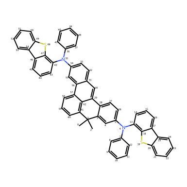 CC1(C)c2cc(N(c3ccccc3)c3cccc4c3sc3ccccc34)ccc2-c2cc3ccc(N(c4ccccc4)c4cccc5c4sc4ccccc45)cc3c3cccc1c23